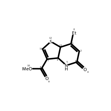 CCC1=CC(=O)NC2C(C(=O)OC)=CSC12